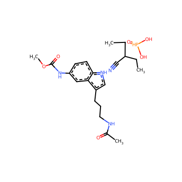 CCC(C#N)CC.COC(=O)Nc1ccc2[nH]cc(CCCNC(C)=O)c2c1.O=[PH](O)O